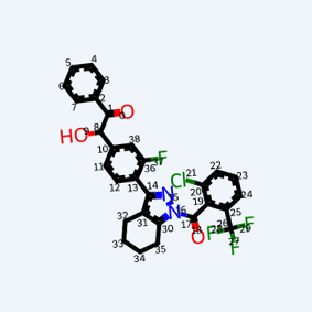 O=C(c1ccccc1)C(O)c1ccc(-c2nn(C(=O)c3c(Cl)cccc3C(F)(F)F)c3c2CCCC3)c(F)c1